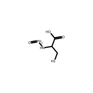 O=[PH2]NC(CS)C(=O)O